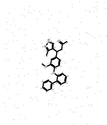 COc1cc(C(CC(C)=O)c2c[nH]nc2C)ccc1Oc1ccccc1-c1ccccc1